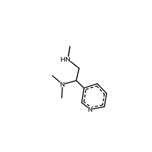 CNCC(c1cccnc1)N(C)C